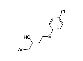 CC(=O)CC(O)CCSc1ccc(Cl)cc1